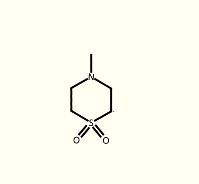 CN1C[CH]S(=O)(=O)CC1